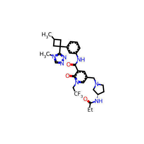 CCC(=O)N[C@H]1CCN(Cc2cc(C(=O)Nc3cccc(C4(c5nncn5C)CC(C)C4)c3)c(=O)n(CC(F)(F)F)c2)C1